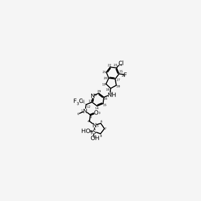 CN(C(=O)CN1CCCS1(O)O)[C@@H](c1ccc(NC2Cc3ccc(Cl)c(F)c3C2)cn1)C(F)(F)F